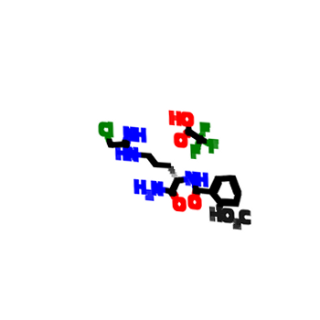 N=C(CCl)NCCC[C@H](NC(=O)c1ccccc1C(=O)O)C(N)=O.O=C(O)C(F)(F)F